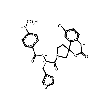 O=C(O)Nc1ccc(C(=O)N[C@@H](Cc2cscn2)C(=O)N2CCC3(C2)OC(=O)Nc2ccc(Cl)cc23)cc1